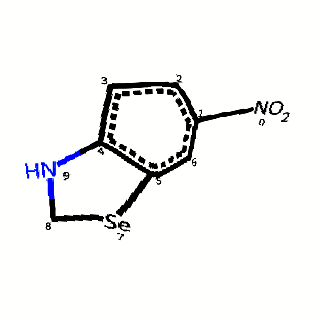 O=[N+]([O-])c1ccc2c(c1)[Se]CN2